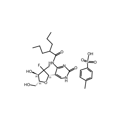 CCCC(CCC)C(=O)Nc1nc(=O)[nH]cc1[C@@H]1O[C@H](CO)[C@@H](O)C1(F)F.Cc1ccc(S(=O)(=O)O)cc1